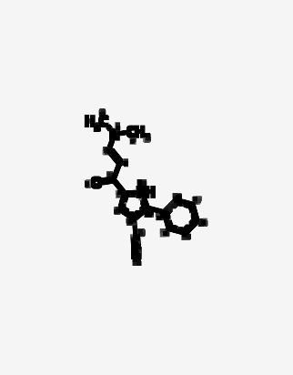 CN(C)/C=C/C(=O)c1cc(C#N)c(-c2ccccc2)[nH]1